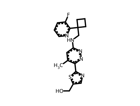 Cc1cc(NCC2(c3ncccc3F)CCC2)nnc1-c1ncc(CO)s1